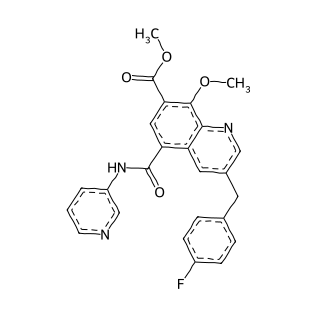 COC(=O)c1cc(C(=O)Nc2cccnc2)c2cc(Cc3ccc(F)cc3)cnc2c1OC